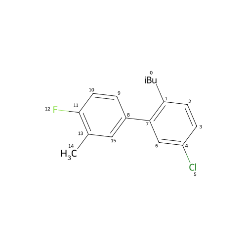 CCC(C)c1ccc(Cl)cc1-c1ccc(F)c(C)c1